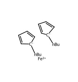 CCCC[c-]1cccc1.CCCC[c-]1cccc1.[Fe+2]